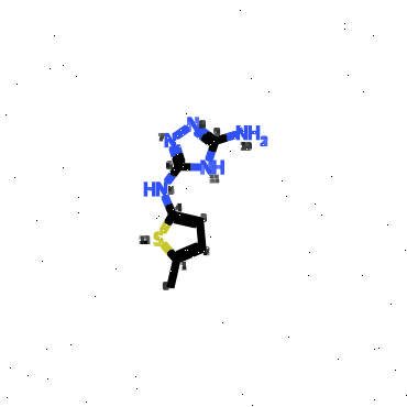 Cc1ccc(Nc2nnc(N)[nH]2)s1